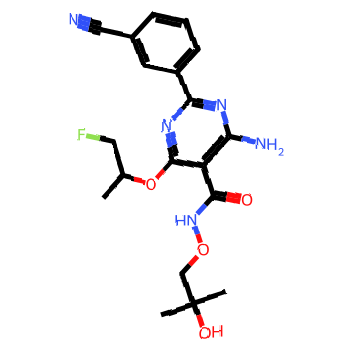 CC(CF)Oc1nc(-c2cccc(C#N)c2)nc(N)c1C(=O)NOCC(C)(C)O